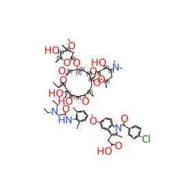 CCN(CC)CC(=O)Nc1c(C)cccc1C.CC[C@H]1OC(=O)[C@H](C)[C@@H](O[C@H]2C[C@@](C)(OC)[C@@H](O)[C@H](C)O2)[C@H](C)[C@@H](O[C@@H]2O[C@H](C)C[C@H](N(C)C)[C@H]2O)[C@](C)(OC)C[C@@H](C)C(=O)[C@H](C)[C@@H](O)[C@]1(C)O.COc1ccc2c(c1)c(CC(=O)O)c(C)n2C(=O)c1ccc(Cl)cc1